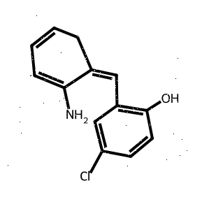 NC1=[C]C=CCC1=Cc1cc(Cl)ccc1O